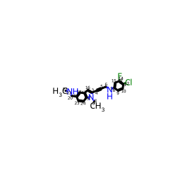 CCn1c(C#CCNc2ccc(Cl)c(F)c2)cc2cc(CNC)ccc21